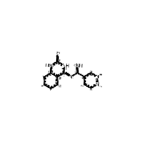 N=C(/N=c1\[nH]c(=S)[nH]c2ccccc12)c1ccnnc1